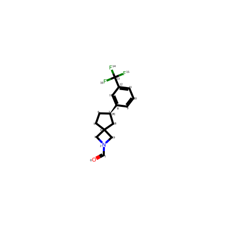 O=CN1CC2(CC[C@@H](c3cccc(C(F)(F)F)c3)C2)C1